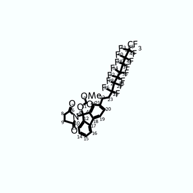 COC(=O)OC1(N2C(=O)CCC2=O)c2ccccc2-c2ccc(CCC(F)(F)C(F)(F)C(F)(F)C(F)(F)C(F)(F)C(F)(F)C(F)(F)C(F)(F)F)cc21